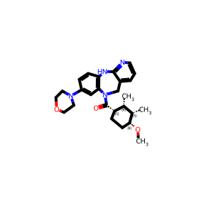 CO[C@@H]1CC[C@H](C(=O)N2Cc3cccnc3Nc3ccc(N4CCOCC4)cc32)[C@H](C)[C@@H]1C